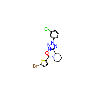 O=C(c1ccc(Br)s1)N1CCCCC1c1nnn(-c2cccc(Cl)c2)n1